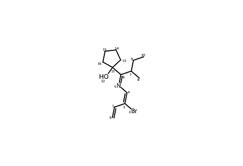 C=C/C(Br)=C\N=C(/C(C)CC)C1(O)CCCC1